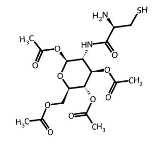 CC(=O)OC[C@H]1O[C@@H](OC(C)=O)[C@H](NC(=O)[C@@H](N)CS)[C@@H](OC(C)=O)[C@@H]1OC(C)=O